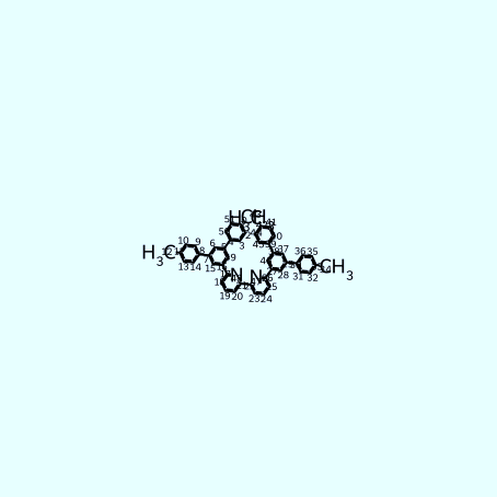 Cc1ccc(-c2cc(-c3ccc(C)cc3)cc(-c3cccc(-c4cccc(-c5cc(-c6ccc(C)cc6)cc(-c6ccc(C)cc6)c5)n4)n3)c2)cc1